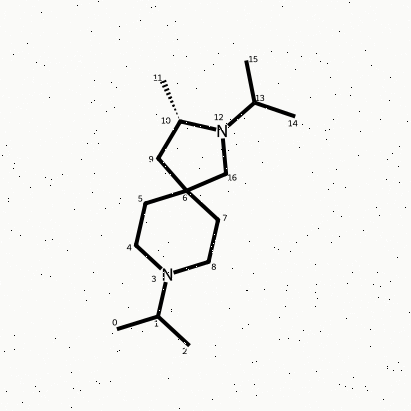 CC(C)N1CCC2(CC1)C[C@H](C)N(C(C)C)C2